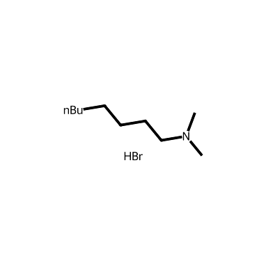 Br.CCCCCCCCN(C)C